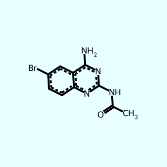 CC(=O)Nc1nc(N)c2cc(Br)ccc2n1